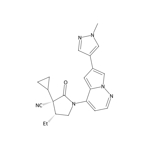 CC[C@H]1CN(c2ccnn3cc(-c4cnn(C)c4)cc23)C(=O)[C@]1(C#N)C1CC1